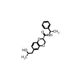 C[C@@H](O)Cc1ccc2c(c1)OC[C@H](C(=O)N[C@H](C)c1ccccc1)O2